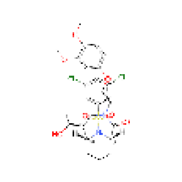 COc1ccc(OCCN2C[C@H](C(C)O)[C@H]3CCC[C@@H](C2=O)N3S(=O)(=O)c2cc(Cl)cc(Cl)c2)cc1OC